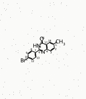 Cc1ccc2nc(-c3ccc(Br)cc3)[nH]c(=O)c2c1